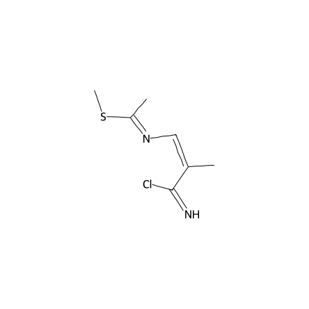 CS/C(C)=N/C=C(/C)C(=N)Cl